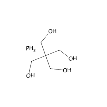 OCC(CO)(CO)CO.P